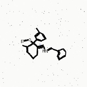 CCOC1(c2cccc(C)c2)/C(=C/NCc2ccccc2)CCCC1C